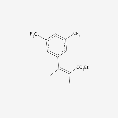 CCOC(=O)/C(C)=C(/C)c1cc(C(F)(F)F)cc(C(F)(F)F)c1